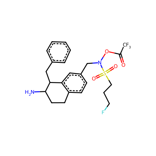 NC1CCc2ccc(CN(OC(=O)C(F)(F)F)S(=O)(=O)CCCF)cc2C1Cc1ccccc1